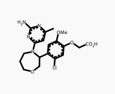 COc1cc(C2COCCCN2c2cc(C)nc(N)n2)c(Cl)cc1OCC(=O)O